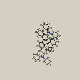 c1ccc(N(c2ccccc2)c2ccc3c4c(ccc3c2)-c2c(cc(N(c3ccccc3)c3ccccc3)c3ccccc23)C42c3ccccc3-c3ccccc32)cc1